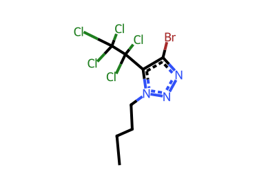 CCCCn1nnc(Br)c1C(Cl)(Cl)C(Cl)(Cl)Cl